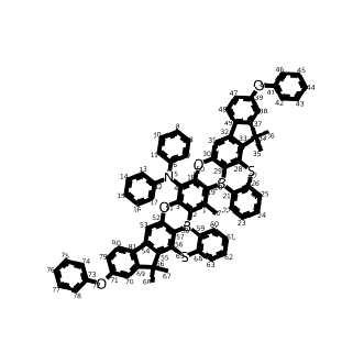 Cc1c2c(c(N(c3ccccc3)c3ccccc3)c3c1B1c4ccccc4Sc4c1c(cc1c4C(C)(C)c4cc(Oc5ccccc5)ccc4-1)O3)Oc1cc3c(c4c1B2c1ccccc1S4)C(C)(C)c1cc(Oc2ccccc2)ccc1-3